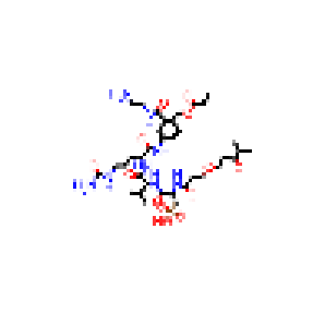 CCC(=O)OCc1ccc(NC(=O)[C@H](CCCNC(N)=O)NC(=O)[C@@H](NC(=O)[C@H](CS(=O)(=O)O)NC(=O)CCOCCC(=O)C(C)C)C(C)C)cc1C(=O)NCCN